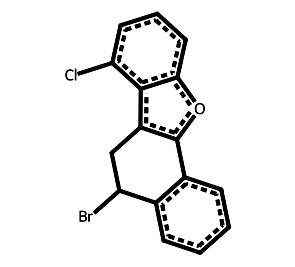 Clc1cccc2oc3c(c12)CC(Br)c1ccccc1-3